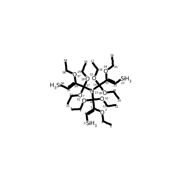 CCO/C(=C\[SiH3])C(OCC)(OCC)N(C(OCC)(OCC)/C(=C/[SiH3])OCC)C(OCC)(OCC)/C(=C/[SiH3])OCC